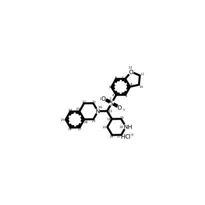 Cl.O=S(=O)(c1ccc2c(c1)CCO2)C(C1CCCNC1)N1CCc2ccccc2C1